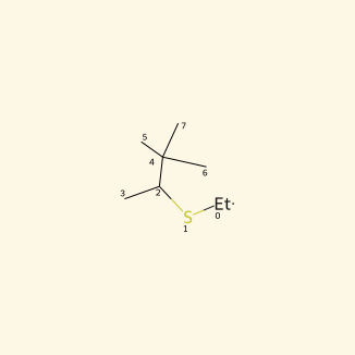 C[CH]SC(C)C(C)(C)C